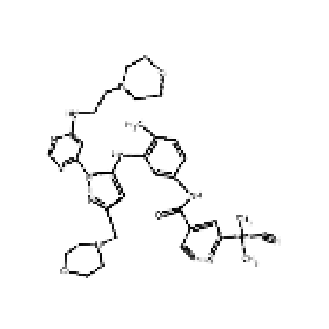 Cc1ccc(NC(=O)c2ccnc(C(C)(C)C#N)c2)cc1Nc1cc(CN2CCOCC2)nn1-c1cc(NCCN2CCOCC2)ncn1